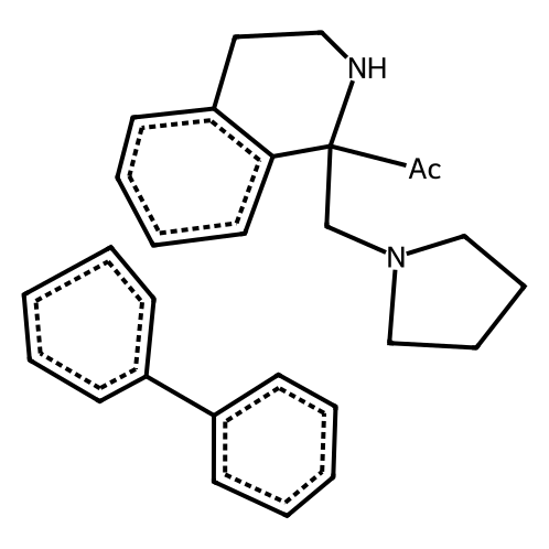 CC(=O)C1(CN2CCCC2)NCCc2ccccc21.c1ccc(-c2ccccc2)cc1